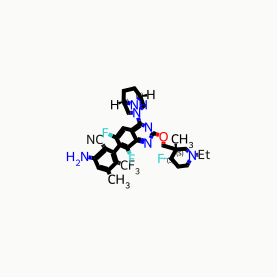 CCN1CC[C@H](F)[C@](C)(COc2nc(N3C[C@H]4CC[C@@H](C3)N4)c3cc(F)c(-c4c(C#N)c(N)cc(C)c4C(F)(F)F)c(F)c3n2)C1